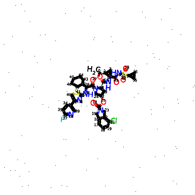 C=C[C@@H]1C[C@]1(NC(=O)[C@@H]1C[C@@H](OC(=O)N2Cc3cccc(Cl)c3C2)CN1C(=O)C(Nc1nc(-c2ccc(F)nc2)cs1)C1CCCCC1)C(=O)NS(=O)(=O)C1CC1